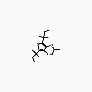 CCC(C)(C)c1sc(C(C)(C)CC)c2c1OCC(C)O2